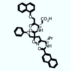 CC(C)[C@H](NC(=O)c1ccc2ccccc2c1)C1=NOC(COc2ccccc2)(C(=O)N[C@@H](CC(=O)O)C(=O)COc2cccc3ccccc23)C1